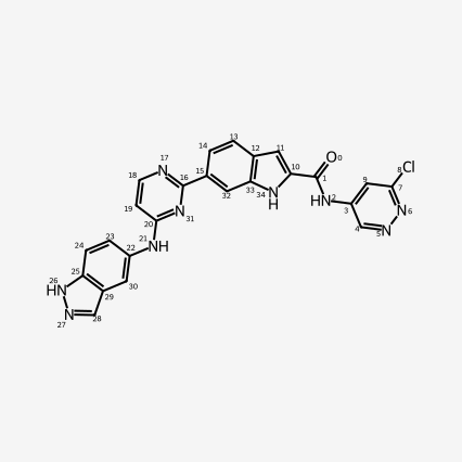 O=C(Nc1cnnc(Cl)c1)c1cc2ccc(-c3nccc(Nc4ccc5[nH]ncc5c4)n3)cc2[nH]1